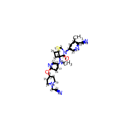 Cc1cc(N(C=S)C(=O)C2(N(C)c3ccc(OC4CCN(CC#N)CC4)nc3)CCC2)cnc1C#N